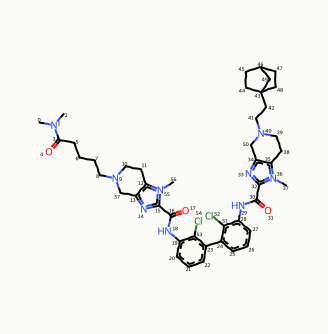 CN(C)C(=O)CCCCN1CCc2c(nc(C(=O)Nc3cccc(-c4cccc(NC(=O)c5nc6c(n5C)CCN(CCC57CCC(CC5)C7)C6)c4Cl)c3Cl)n2C)C1